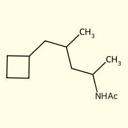 CC(=O)NC(C)CC(C)CC1CCC1